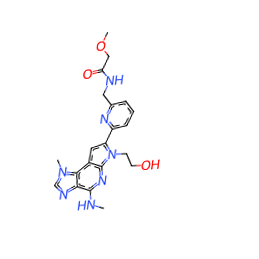 CNc1nc2c(cc(-c3cccc(CNC(=O)COC)n3)n2CCO)c2c1ncn2C